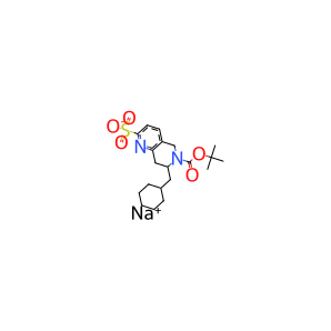 CC(C)(C)OC(=O)N1Cc2ccc(S(=O)(=O)[O-])nc2CC1CC1CCCCC1.[Na+]